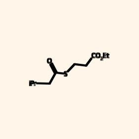 CCOC(=O)CCSC(=O)CC(C)C